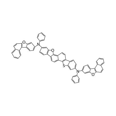 c1ccc(N(c2ccc3c(c2)oc2c3ccc3c2ccc2c4ccc(N(c5ccccc5)c5ccc6c(c5)oc5ccc7ccccc7c56)cc4sc23)c2ccc3c(c2)oc2ccc4ccccc4c23)cc1